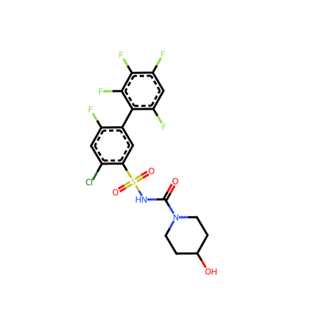 O=C(NS(=O)(=O)c1cc(-c2c(F)cc(F)c(F)c2F)c(F)cc1Cl)N1CCC(O)CC1